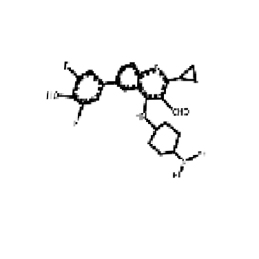 CCN(CC)C1CCC(Nc2c(C=O)c(C3CC3)nc3ccc(-c4cc(F)c(O)c(F)c4)cc23)CC1